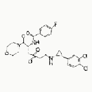 O=C(N[C@H](CS(=O)(=O)CCN[C@@H]1C[C@H]1c1ccc(Cl)c(Cl)c1)C(=O)N1CCOCC1)c1ccc(F)cc1